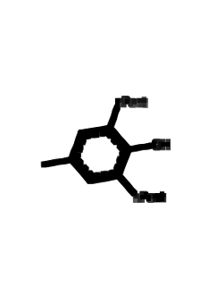 CCCCCc1cc(C)cc(CCCCC)c1O